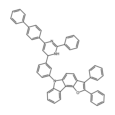 C1=C(c2ccc(-c3ccccc3)cc2)N=C(c2ccccc2)NC1c1cccc(-n2c3ccccc3c3c4oc(-c5ccccc5)c(-c5ccccc5)c4ccc32)c1